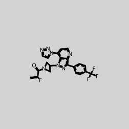 C=C(F)C(=O)N1CC(n2nc(-c3ccc(C(F)(F)F)cc3)c3nccc(-n4ccnn4)c32)C1